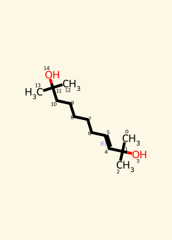 CC(C)(O)/C=C/CCCCCC(C)(C)O